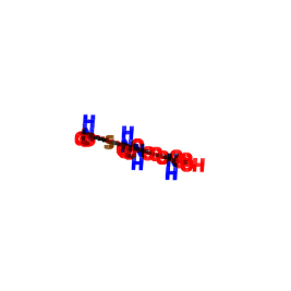 CC(C)C(NC(=O)CCCCCCCSCCCCCC(=O)NC(CCC(=O)NCCCOCCOCCOCCCNC(=O)COCC(=O)O)C(=O)OC(C)(C)C)C(=O)OC(C)(C)C